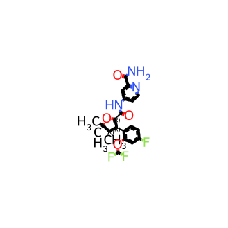 C[C@@H]1[C@H](c2ccc(F)cc2OC(F)F)[C@H](C(=O)Nc2ccnc(C(N)=O)c2)OC1(C)C